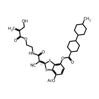 C=C(CO)C(=O)OCCNC(=O)/C(C#N)=C1/Sc2c(OC(C)=O)ccc(OC(=O)C3CCC(C4CCC(C)CC4)CC3)c2S1